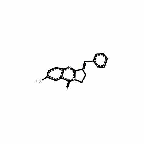 Cc1ccc2nc3n(c(=O)c2c1)CC/C3=C\c1ccccc1